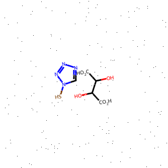 O=C(O)C(O)C(O)C(=O)O.Sn1cnnn1